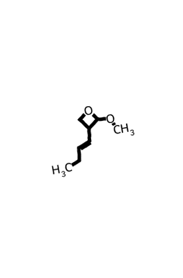 CCC=CC1COC1OC